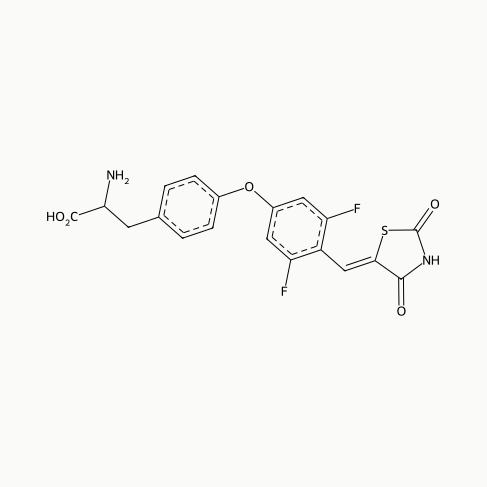 NC(Cc1ccc(Oc2cc(F)c(C=C3SC(=O)NC3=O)c(F)c2)cc1)C(=O)O